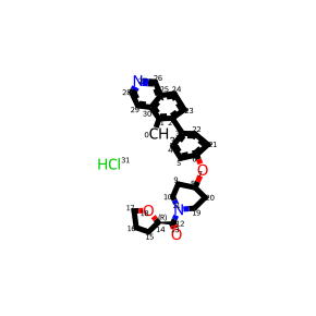 Cc1c(-c2ccc(OC3CCN(C(=O)[C@H]4CCCO4)CC3)cc2)ccc2cnccc12.Cl